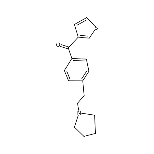 O=C(c1ccc(CCN2CCCC2)cc1)c1ccsc1